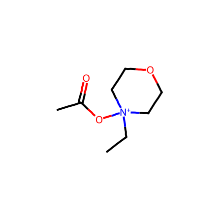 CC[N+]1(OC(C)=O)CCOCC1